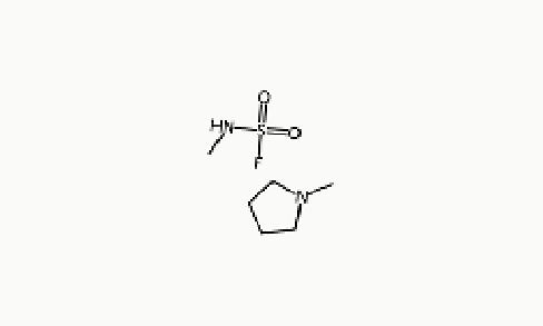 CN1CCCC1.CNS(=O)(=O)F